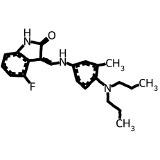 CCCN(CCC)c1ccc(NC=C2C(=O)Nc3cccc(F)c32)cc1C